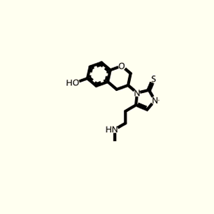 CNCCC1=C[N]C(=S)N1C1COc2ccc(O)cc2C1